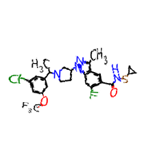 Cc1nn(C2CCN(C(C)c3cc(Cl)cc(OC(F)(F)F)c3)C2)c2cc(F)c(C(=O)NSC3CC3)cc12